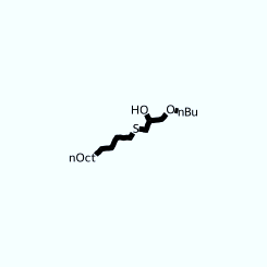 CCCCCCCCCCCCSCC(O)COCCCC